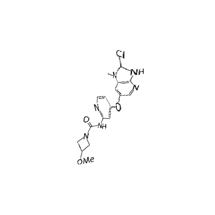 COC1CN(C(=O)Nc2cc(Oc3cnc4c(c3)N(C)C(Cl)N4)ccn2)C1